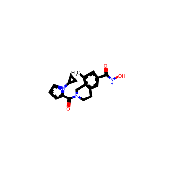 Cc1cc(C(=O)NO)cc2c1CN(C(=O)c1cccn1C1CC1)CC2